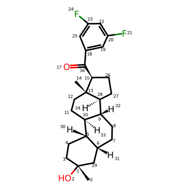 C[C@@]1(O)CC[C@H]2[C@H](CC[C@@H]3[C@@H]2CC[C@]2(C)[C@@H](C(=O)c4cc(F)cc(F)c4)CC[C@@H]32)C1